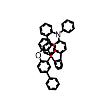 c1ccc(-c2ccc3c(c2)C2(c4ccccc4O3)c3ccccc3-c3ccc(N(c4ccccc4)c4ccccc4-c4ccccc4)cc32)cc1